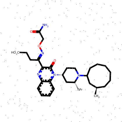 CCC[C@@H]1C[C@H](n2c(=O)c(/C(CCC(=O)O)=N/OCC(N)=O)nc3ccccc32)CCN1C1CCCCCC[C@@H](C)C1